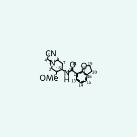 COC1CN(CC#N)CCC1NC(=O)c1cccc2c1OCC2